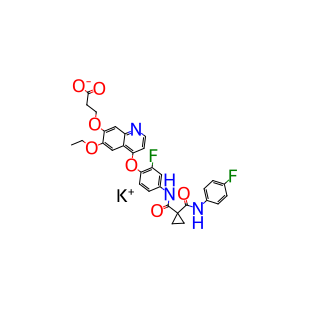 CCOc1cc2c(Oc3ccc(NC(=O)C4(C(=O)Nc5ccc(F)cc5)CC4)cc3F)ccnc2cc1OCCC(=O)[O-].[K+]